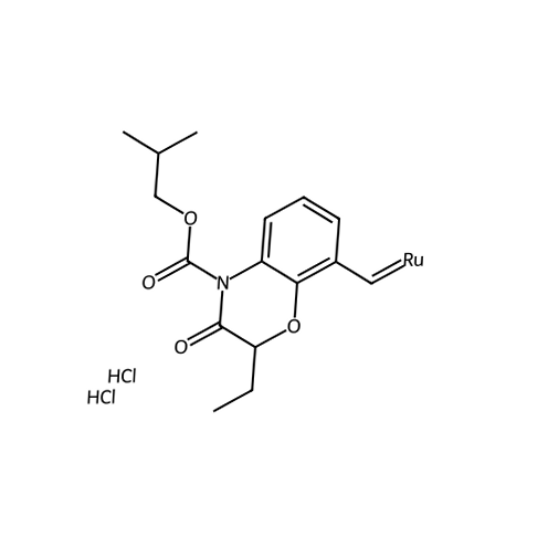 CCC1Oc2c([CH]=[Ru])cccc2N(C(=O)OCC(C)C)C1=O.Cl.Cl